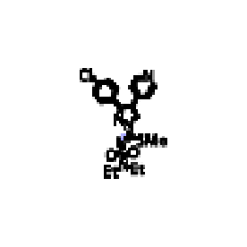 CCN(CC)S(=O)(=O)/N=C(\SC)N1CC(c2ccncc2)C(c2ccc(Cl)cc2)=N1